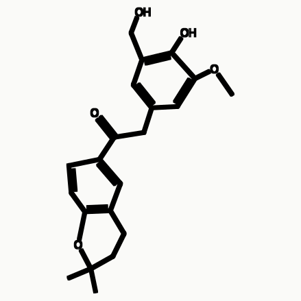 COc1cc(CC(=O)c2ccc3c(c2)CCC(C)(C)O3)cc(CO)c1O